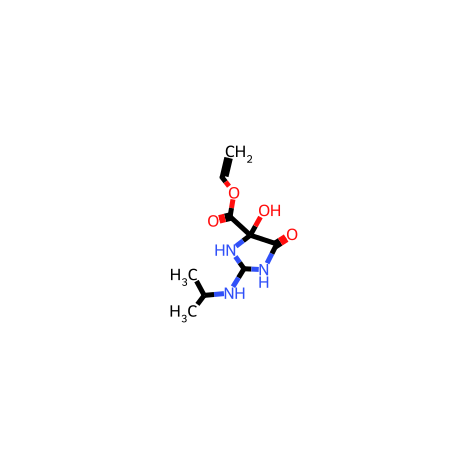 C=COC(=O)C1(O)NC(NC(C)C)NC1=O